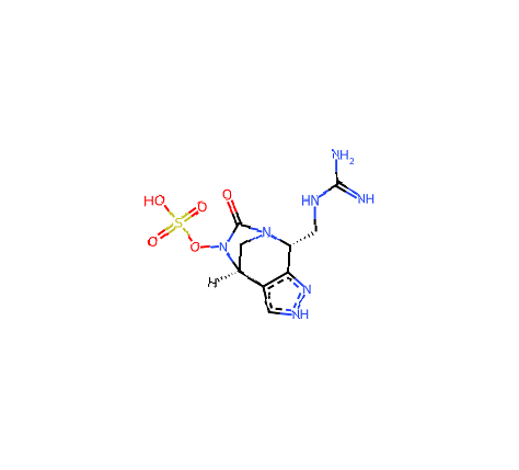 N=C(N)NC[C@@H]1c2n[nH]cc2[C@@H]2CN1C(=O)N2OS(=O)(=O)O